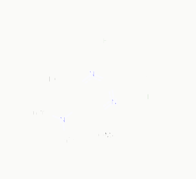 CCCN(CCC)c1c(C)nc(-c2c(F)cccc2F)nc1OC